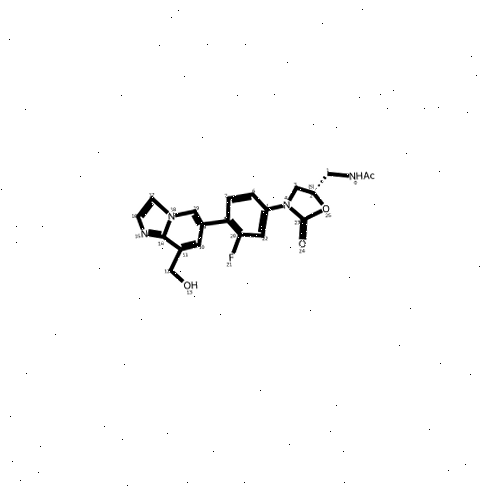 CC(=O)NC[C@H]1CN(c2ccc(-c3cc(CO)c4nccn4c3)c(F)c2)C(=O)O1